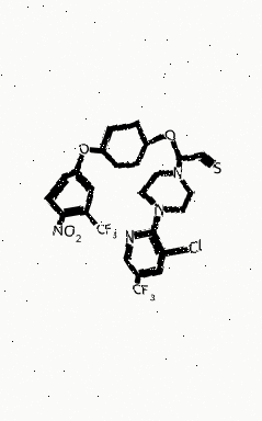 O=[N+]([O-])c1ccc(OC2CCC(OC(C=S)N3CCN(c4ncc(C(F)(F)F)cc4Cl)CC3)CC2)cc1C(F)(F)F